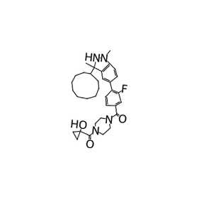 CN1NC(C)(C2CCCCCCCCC2)c2cc(-c3ccc(C(=O)N4CCN(C(=O)C5(O)CC5)CC4)cc3F)ccc21